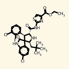 CCOC(=O)c1csc(NC(=O)[C@@H]2N[C@@H](CC(C)(C)C)C3(C(=O)Nc4cc(Cl)ccc43)[C@H]2c2cccc(Cl)c2F)n1